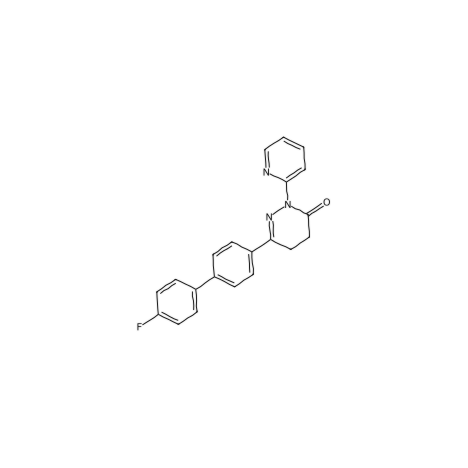 O=C1CCC(c2ccc(-c3ccc(F)cc3)cc2)=NN1c1ccccn1